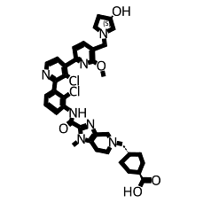 COc1nc(-c2ccnc(-c3cccc(NC(=O)c4nc5c(n4C)CCN(C[C@H]4CC[C@H](C(=O)O)CC4)C5)c3Cl)c2Cl)ccc1CN1CC[C@H](O)C1